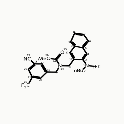 CCCCN(CC)c1cc2ccccc2cc1CN(Cc1cc(C#N)cc(C(F)(F)F)c1)C(=O)OC